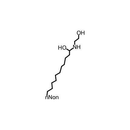 CCCCCCCCCCCCCCCCCCCC(O)NCCO